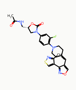 CC(=O)NC[C@H]1CN(c2ccc(N3CCC(=Cc4conc4-c4csnc4C)CC3)c(F)c2)C(=O)O1